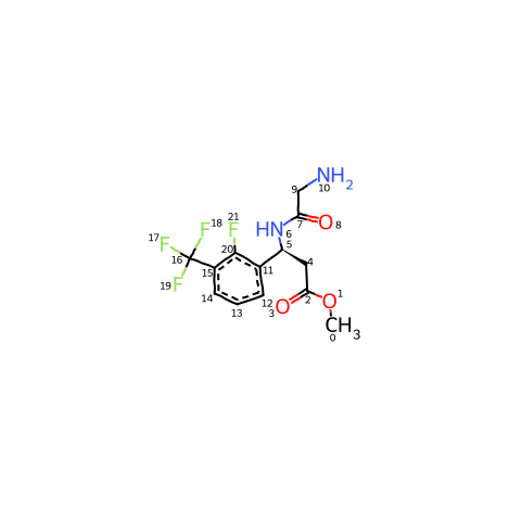 COC(=O)C[C@H](NC(=O)CN)c1cccc(C(F)(F)F)c1F